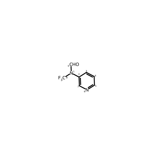 O=CN(c1[c]ccnc1)C(F)(F)F